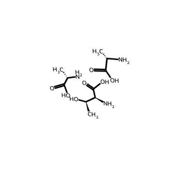 C[C@@H](O)[C@H](N)C(=O)O.C[C@H](N)C(=O)O.C[C@H](N)C(=O)O